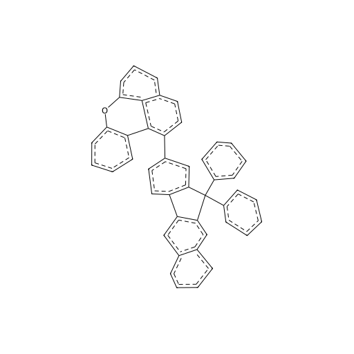 c1ccc(C2(c3ccccc3)c3cc(-c4ccc5cccc6c5c4-c4ccccc4O6)ccc3-c3cc4ccccc4cc32)cc1